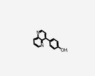 Oc1ccc(-c2ccnc3cccnc23)cc1